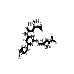 C=C(/C=C(\NN)C1CC1)Nc1cc(N2CC3CC2CN3C)nc(NCc2cc(C(C)C)no2)n1